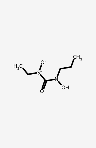 CCCN(O)C(=O)[S+]([O-])CC